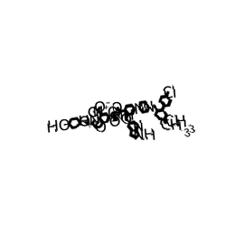 CC1(C)CCC(CN2CCN(c3ccc(C(=O)NS(=O)(=O)c4cc5c(c([N+](=O)[O-])c4)N[C@H](CO[C@H]4CC[C@H](O)CC4)CO5)c(Oc4cnc5[nH]ccc5c4)c3)CC2)=C(c2ccc(Cl)cc2)C1